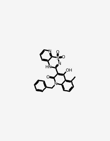 Cc1cccc2c1c(O)c(C1=NS(=O)(=O)c3ncccc3N1)c(=O)n2Cc1ccccc1